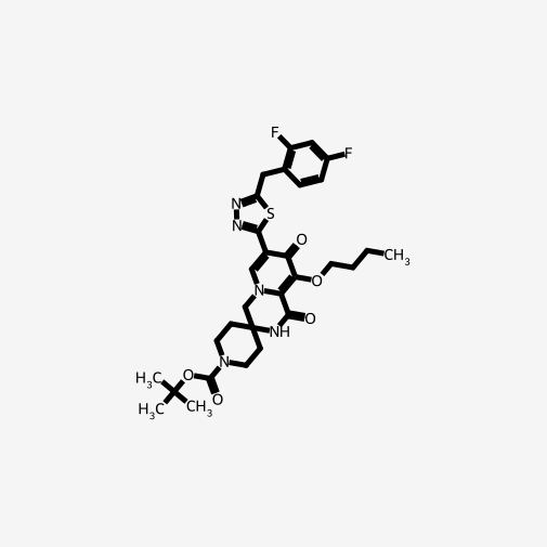 CCCCOc1c2n(cc(-c3nnc(Cc4ccc(F)cc4F)s3)c1=O)CC1(CCN(C(=O)OC(C)(C)C)CC1)NC2=O